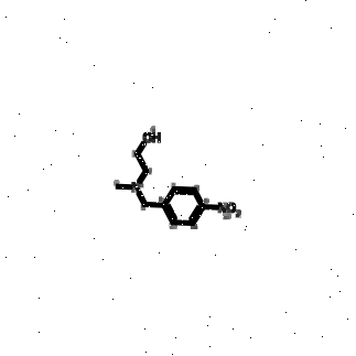 CN(CCO)Cc1ccc([N+](=O)[O-])cc1